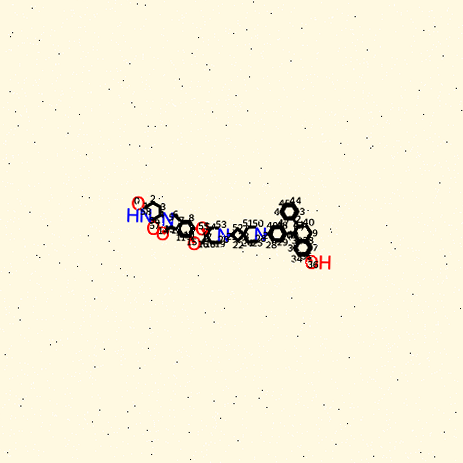 O=C1CCC(N2Cc3cc4c(cc3C2=O)OCC2(CCN(C3CC5(CCN(c6ccc([C@@H]7c8ccc(O)cc8CC[C@@H]7c7ccccc7)cc6)CC5)C3)CC2)O4)C(=O)N1